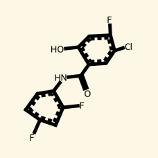 O=C(Nc1ccc(F)cc1F)c1cc(Cl)c(F)cc1O